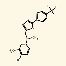 Cc1cc(N(C)Cc2cnc(-c3ccc(C(F)(F)F)cc3)s2)ccc1O